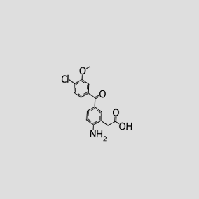 COc1cc(C(=O)c2ccc(N)c(CC(=O)O)c2)ccc1Cl